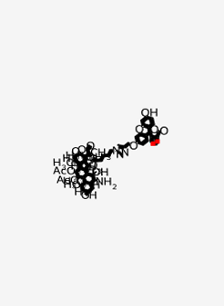 CC(=O)O[C@H]1C2C([C@@H](O)[C@@H](N)[C@H]3C[C@@H]4O[C@@H]4[C@H](O)[C@]23C)[C@@H]2[C@@H](OC(=O)CCCCn3cc(COc4ccc5c(c4)Oc4cc(O)ccc4C54OC(=O)c5ccccc54)nn3)[C@@H]3[C@H]([C@H](C)[C@H]4O[C@]45OC(=O)[C@@](C)(O)[C@]35C)[C@@]2(C)[C@H]1OC(C)=O